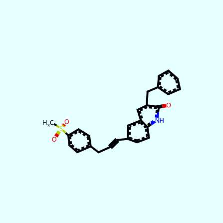 CS(=O)(=O)c1ccc(CC#Cc2ccc3[nH]c(=O)c(Cc4ccccc4)cc3c2)cc1